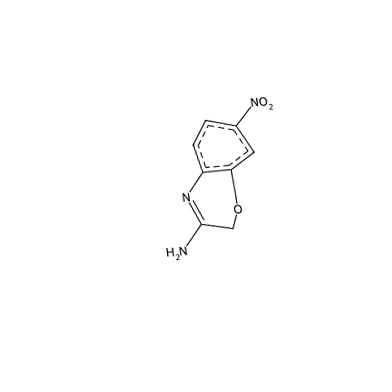 NC1=Nc2ccc([N+](=O)[O-])cc2OC1